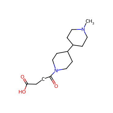 CN1CCC(C2CCN(C(=O)CCC(=O)O)CC2)CC1